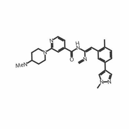 C=N/C(=C\c1cc(-c2cnn(C)c2)ccc1C)NC(=O)c1ccnc(N2CCC(NC)CC2)c1